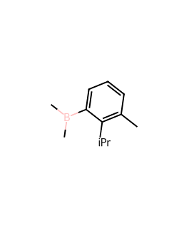 CB(C)c1cccc(C)c1C(C)C